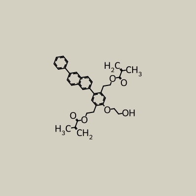 C=C(C)C(=O)OCCc1cc(-c2ccc3cc(-c4ccccc4)ccc3c2)c(CCOC(=O)C(=C)C)cc1OCCO